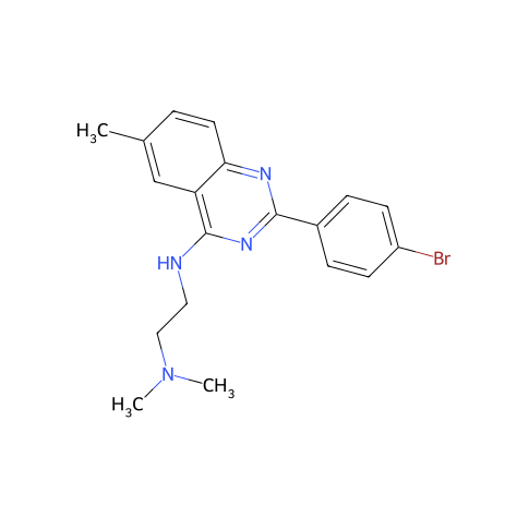 Cc1ccc2nc(-c3ccc(Br)cc3)nc(NCCN(C)C)c2c1